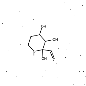 O=CC1(O)NCCC(O)C1O